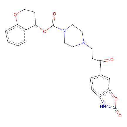 O=C(CCN1CCN(C(=O)OC2CCOc3ccccc32)CC1)c1ccc2[nH]c(=O)oc2c1